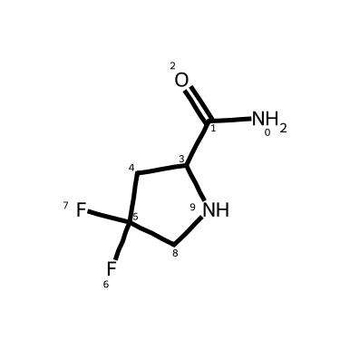 NC(=O)C1CC(F)(F)CN1